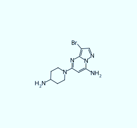 Nc1cc(N2CCC(N)CC2)nc2c(Br)cnn12